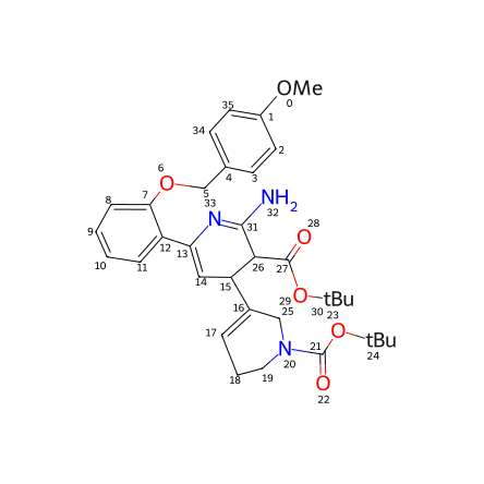 COc1ccc(COc2ccccc2C2=CC(C3=CCCN(C(=O)OC(C)(C)C)C3)C(C(=O)OC(C)(C)C)C(N)=N2)cc1